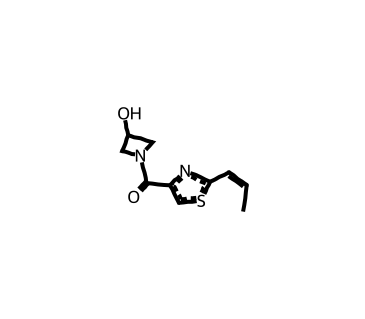 C/C=C\c1nc(C(=O)N2CC(O)C2)cs1